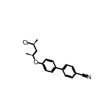 C[C@H](Cl)C[C@H](C)Oc1ccc(-c2ccc(C#N)cc2)cc1